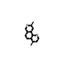 Cc1cc2c(ccc3c(C)ccnc32)cn1